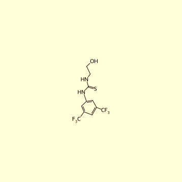 OCCNC(=S)Nc1cc(C(F)(F)F)cc(C(F)(F)F)c1